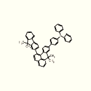 CC1(C)c2ccccc2-c2ccc(-c3ccc4cccc5c4c3-c3ccc(-c4ccc(N(c6ccccc6)c6ccccc6)cc4)cc3C5(C)C)cc21